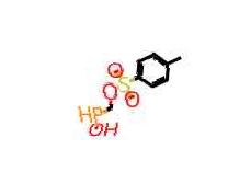 Cc1ccc(S(=O)(=O)OCPO)cc1